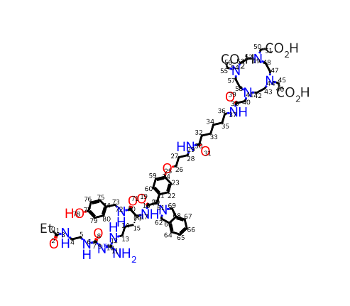 CCC(=O)NCCNC(=O)/N=C(/N)NCCC[C@@H](NC(=O)[C@H](c1ccc(OCCCNC(=O)CCCCCNC(=O)CN2CCN(CC(=O)O)CCN(CC(=O)O)CCN(CC(=O)O)CC2)cc1)N1Cc2ccccc2C1)C(=O)NCc1ccc(O)cc1